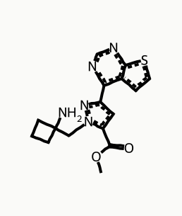 COC(=O)c1cc(-c2ncnc3sccc23)nn1CC1(N)CCC1